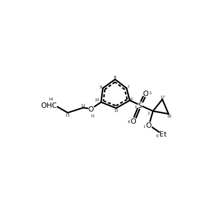 CCOC1(S(=O)(=O)c2cccc(OCCC=O)c2)CC1